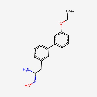 COCOc1cccc(-c2cccc(C/C(N)=N/O)c2)c1